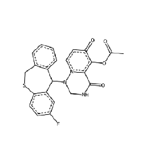 CC(=O)Oc1c2n(ccc1=O)N(C1c3ccccc3CSc3ccc(F)cc31)CNC2=O